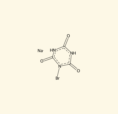 O=c1[nH]c(=O)n(Br)c(=O)[nH]1.[Na]